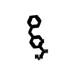 NNc1ccc(Cc2ccccc2)cn1